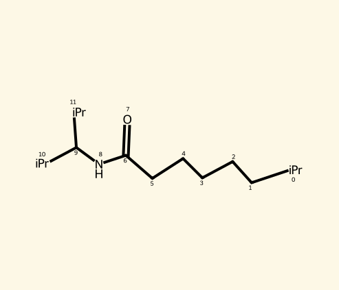 CC(C)CCCCCC(=O)NC(C(C)C)C(C)C